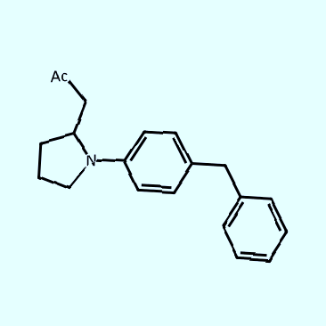 CC(=O)CC1CCCN1c1ccc(Cc2ccccc2)cc1